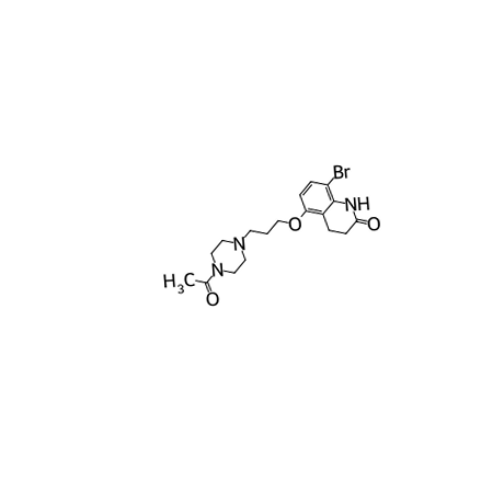 CC(=O)N1CCN(CCCOc2ccc(Br)c3c2CCC(=O)N3)CC1